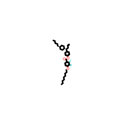 C=CCC(c1ccc(OC(=O)c2ccc(OCCCCCCCCC)c(F)c2F)cc1)[C@H]1CC[C@H](CCCCC)CC1